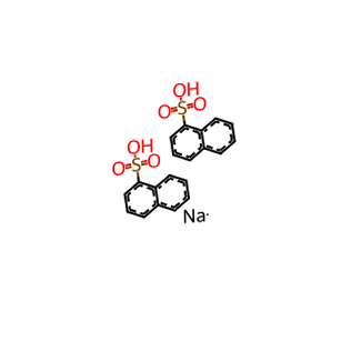 O=S(=O)(O)c1cccc2ccccc12.O=S(=O)(O)c1cccc2ccccc12.[Na]